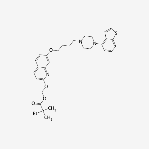 CCC(C)(C)C(=O)OCOc1ccc2ccc(OCCCCN3CCN(c4cccc5sccc45)CC3)cc2n1